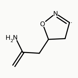 C=C(N)CC1C[C]=NO1